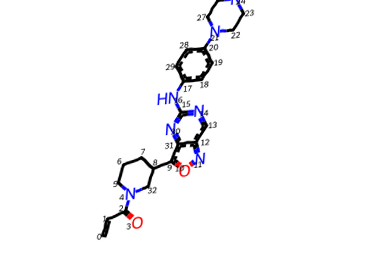 C=CC(=O)N1CCCC(c2onc3cnc(Nc4ccc(N5CCN(C)CC5)cc4)nc23)C1